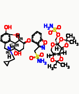 CC1(C)O[C@@H]2[C@@H](CO[C@@]3(COS(N)(=O)=O)OC(C)(C)O[C@@H]23)O1.NS(=O)(=O)Cc1noc2ccccc12.O=C1CC[C@@]2(O)[C@H]3Cc4ccc(O)c5c4[C@@]2(CCN3CC2CC2)[C@H]1O5